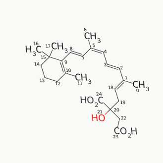 CC(C=C/C=C(/C)C=CC1=C(C)CCCC1(C)C)=CCC(O)(CC(=O)O)C(=O)O